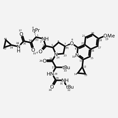 CCC[C@H](NC(=O)C1C[C@@H](Oc2nc(C3CC3)cc3cc(OC)ccc23)CN1C(=O)C(NC(=O)NC(C)(C)C)C(C)(C)C)C(=O)C(=O)NC1CC1